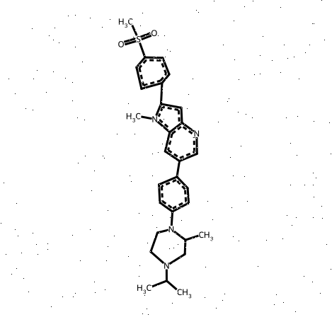 CC(C)N1CCN(c2ccc(-c3cnc4cc(-c5ccc(S(C)(=O)=O)cc5)n(C)c4c3)cc2)C(C)C1